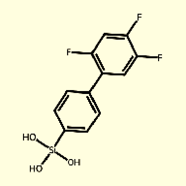 O[Si](O)(O)c1ccc(-c2cc(F)c(F)cc2F)cc1